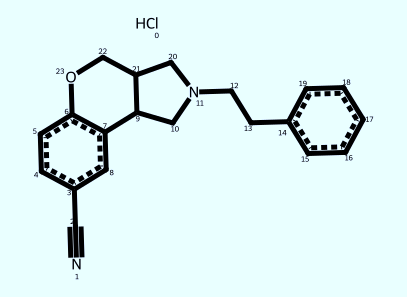 Cl.N#Cc1ccc2c(c1)C1CN(CCc3ccccc3)CC1CO2